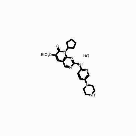 CCOC(=O)c1cc2cnc(Nc3ccc(N4CCNCC4)cn3)nc2n(C2CCCC2)c1=O.Cl